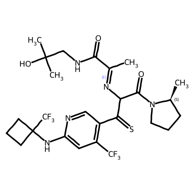 C/C(=N\C(C(=O)N1CCC[C@@H]1C)C(=S)c1cnc(NC2(C(F)(F)F)CCC2)cc1C(F)(F)F)C(=O)NCC(C)(C)O